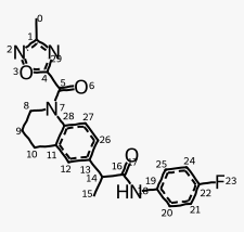 Cc1noc(C(=O)N2CCCc3cc(C(C)C(=O)Nc4ccc(F)cc4)ccc32)n1